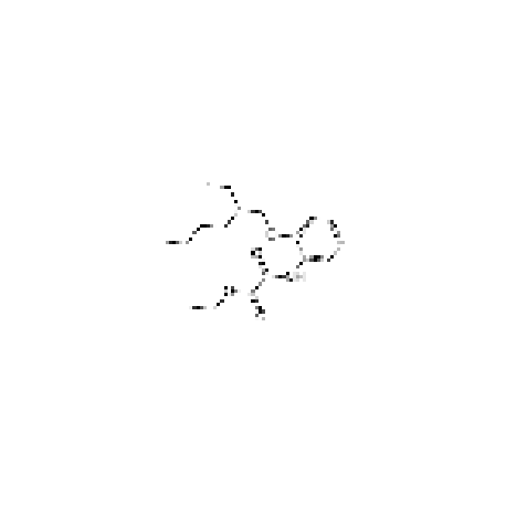 CCCCC(CC)COc1ccccc1NC(=O)C(=O)OCC